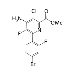 COC(=O)c1nc(-c2ccc(Br)cc2F)c(F)c(N)c1Cl